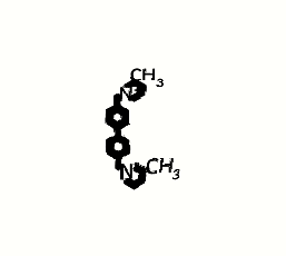 Cc1ccc[n+](Cc2ccc(-c3ccc(C[n+]4cccc(C)c4)cc3)cc2)c1